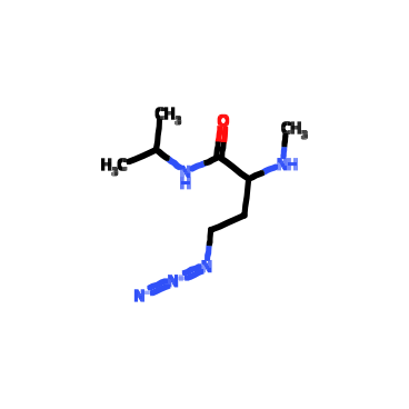 CNC(CCN=[N+]=[N-])C(=O)NC(C)C